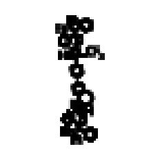 CCN(CC)[C@@H](C(=O)C1CCCN1c1nc2c([nH]1)CCCc1cc(-c3ccc(-c4[nH]c([C@@H]5CCCN5C(=O)[C@@H](c5ccccc5)N(CC)CC)nc4CC(F)(F)F)cc3)ccc1-2)c1ccccc1